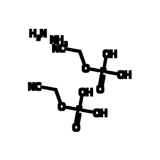 N.N.N#CCOP(=O)(O)O.N#CCOP(=O)(O)O